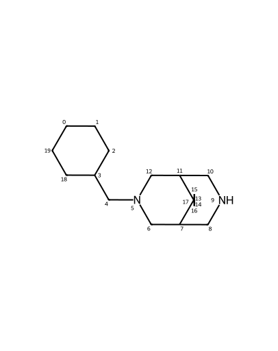 C1CCC(CN2CC3CNCC(C2)C32CCCC2)CC1